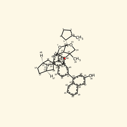 CN1CCC[C@H]1COc1nc(N2[C@@H]3CC[C@H]2CN(C(=O)NC2COCC2(C)C)C3)c2ccc(-c3cc(O)cc4ccccc34)cc2n1